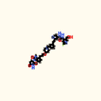 Cn1c(=O)n(C2CCC(=O)NC2=O)c2cccc(CCCOC3CCN(Cc4cccc(C#Cc5cc(NC(=O)Nc6cc(F)ncc6CO)ccn5)c4)CC3)c21